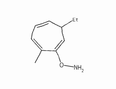 CCC1C=CC=C(C)C(ON)=C1